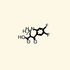 Nc1cc(F)c(F)cc1C(=O)C(N)C(=O)O